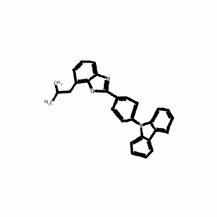 CC(C)Cc1cccc2nc(-c3ccc(-n4c5ccccc5c5ccccc54)cc3)oc12